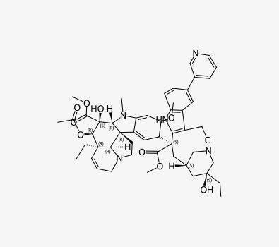 CC[C@]1(O)C[C@H]2CN(CCc3c([nH]c4ccc(-c5cccnc5)cc34)[C@@](C(=O)OC)(C3C=C4C(=CC3OC)N(C)[C@H]3[C@@](O)(C(=O)OC)[C@H](OC(C)=O)[C@]5(CC)C=CCN6CC[C@]43[C@@H]65)C2)C1